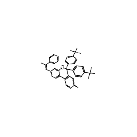 CC(=Cc1ccc2c(c1)OC(c1ccc(C(C)(C)C)cc1)(c1ccc(C(C)(C)C)cc1)c1cc(C)ccc1-2)c1ccccc1